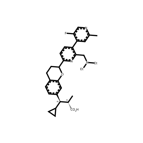 CCN(CC)Cc1nc(C2CCc3ccc([C@H](C4CC4)[C@H](C)C(=O)O)cc3O2)ccc1-c1cc(C)ncc1F